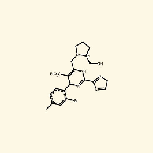 CCOC(=O)C1=C(CN2CCC[C@H]2CO)NC(C2=NCC=N2)=NC1c1ccc(F)cc1Br